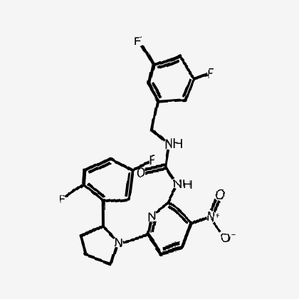 O=C(NCc1cc(F)cc(F)c1)Nc1nc(N2CCCC2c2cc(F)ccc2F)ccc1[N+](=O)[O-]